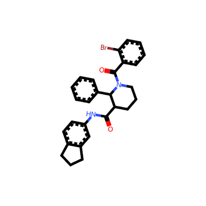 O=C(Nc1ccc2c(c1)CCC2)C1CCCN(C(=O)c2ccccc2Br)C1c1ccccc1